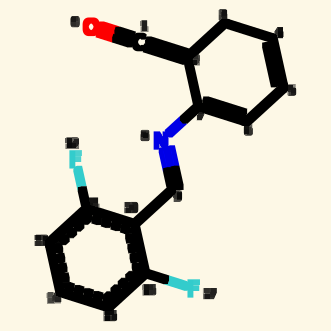 O=C=C1CC=CC=C1N=Cc1c(F)cccc1F